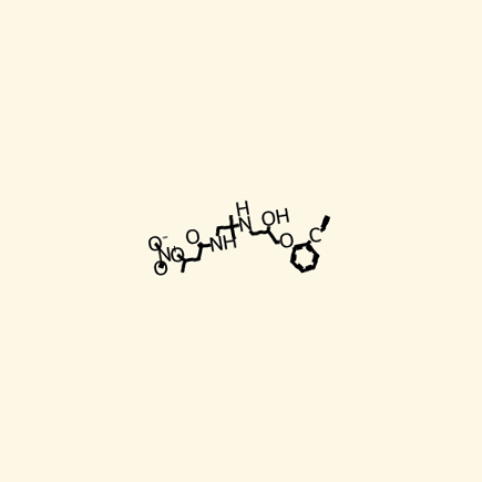 C=CCc1ccccc1OCC(O)CNC(C)(C)CNC(=O)CC(C)O[N+](=O)[O-]